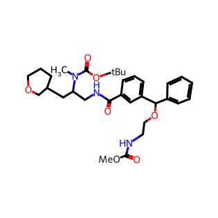 COC(=O)NCCOC(c1ccccc1)c1cccc(C(=O)NCC(CC2CCCOC2)N(C)C(=O)OC(C)(C)C)c1